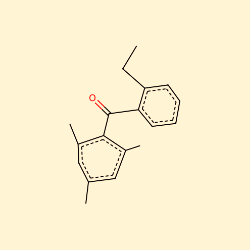 CCc1ccccc1C(=O)c1c(C)cc(C)cc1C